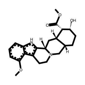 COC(=O)[C@H]1[C@H]2C[C@H]3c4[nH]c5cccc(OC)c5c4CCN3C[C@H]2CC[C@H]1O